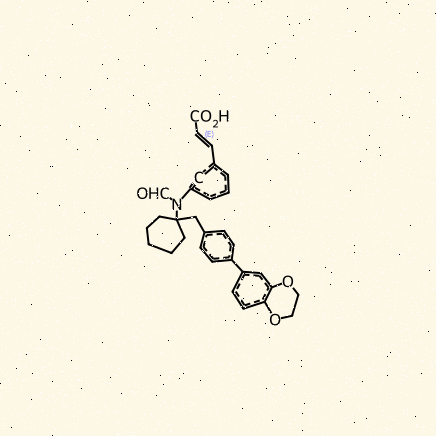 O=CN(c1cccc(/C=C/C(=O)O)c1)C1(Cc2ccc(-c3ccc4c(c3)OCCO4)cc2)CCCCC1